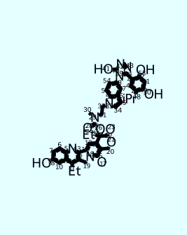 CCc1c2c(nc3ccc(O)cc13)-c1cc3c(c(=O)n1C2)COC(=O)C3(CC)OC(=O)N(C)CCn1ccc2cc(-n3c(O)nnc3-c3cc(C(C)C)c(O)cc3O)ccc21